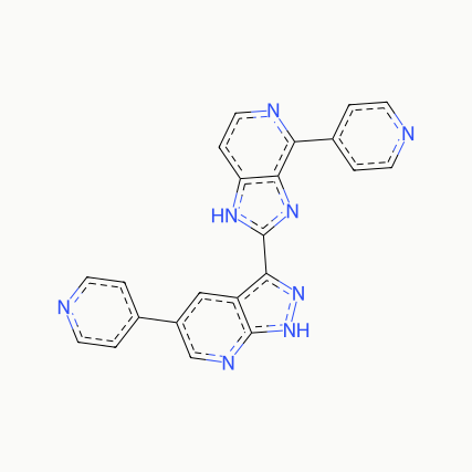 c1cc(-c2cnc3[nH]nc(-c4nc5c(-c6ccncc6)nccc5[nH]4)c3c2)ccn1